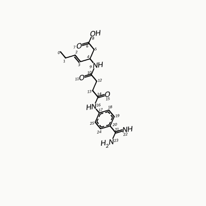 CCC=CC(CC(=O)O)NC(=O)CCC(=O)Nc1ccc(C(=N)N)cc1